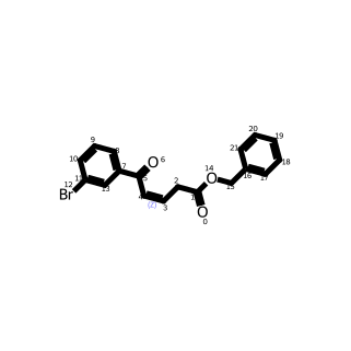 O=C(C/C=C\C(=O)c1cccc(Br)c1)OCc1ccccc1